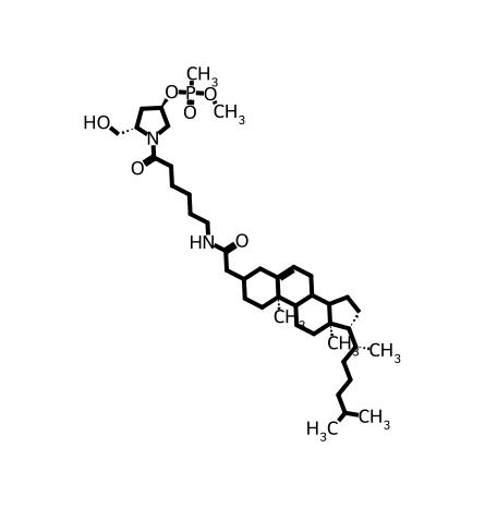 COP(C)(=O)O[C@@H]1C[C@@H](CO)N(C(=O)CCCCCNC(=O)CC2CC[C@@]3(C)C(=CCC4C3CC[C@@]3(C)C4CC[C@@H]3[C@H](C)CCCC(C)C)C2)C1